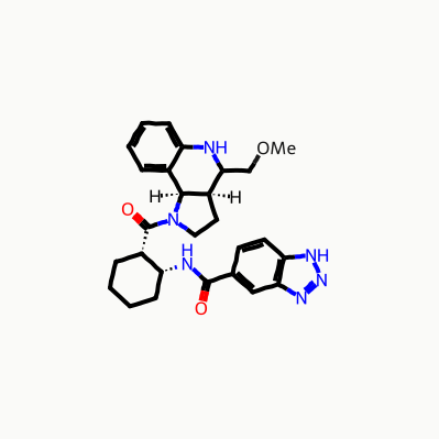 COCC1Nc2ccccc2[C@H]2[C@@H]1CCN2C(=O)[C@H]1CCCC[C@H]1NC(=O)c1ccc2[nH]nnc2c1